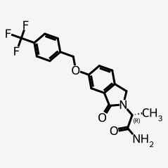 C[C@H](C(N)=O)N1Cc2ccc(OCc3ccc(C(F)(F)F)cc3)cc2C1=O